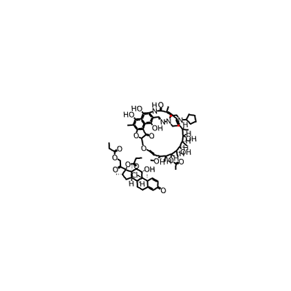 CCC(=O)OCC(=O)[C@@]1(OC(=O)CC)[C@@H](C)C[C@H]2[C@@H]3CCC4=CC(=O)C=C[C@]4(C)[C@@]3(Cl)[C@@H](O)C[C@@]21C.CO[C@H]1/C=C/O[C@@]2(C)Oc3c(C)c(O)c4c(O)c(c(/C=N/N5CCN(C6CCCC6)CC5)c(O)c4c3C2=O)NC(=O)/C(C)=C\C=C\[C@H](C)[C@H](O)[C@@H](C)[C@@H](O)[C@@H](C)[C@H](OC(C)=O)[C@@H]1C